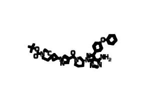 CC(C)(C)OC(=O)N1CCC2(CC1)CC(n1cc(C(=O)N3CCC[C@@H](n4nc(-c5ccc(Oc6ccccc6)cc5)c5c(N)ncnc54)C3)cn1)C2